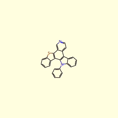 c1ccc(-n2c3ccccc3c3c4ccncc4c4sc5ccccc5c4c32)cc1